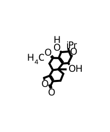 C.CC(C)C12OC1C(O)C1=C(C(=O)CC3C4=C(CCC13C)C(=O)OC4)C2O